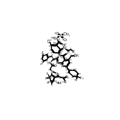 CS(=O)(=O)Nc1nn(CCBr)c2c(-n3c([C@H](Cc4cc(F)cc(F)c4)NC(=O)Cn4nc(C(F)F)c5c4C(F)(F)[C@@H]4C[C@H]54)nc4nc(C5CCC(F)(F)CC5)cc(CO)c4c3=O)ccc(Cl)c12